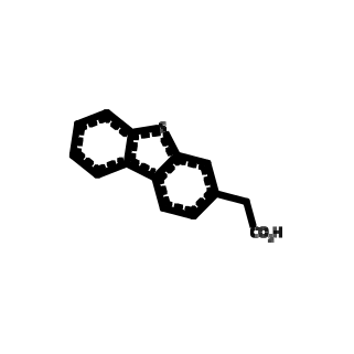 O=C(O)Cc1ccc2c(c1)sc1ccccc12